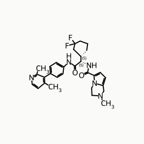 Cc1ccnc(C)c1-c1ccc(NC(=O)[C@@H](NC(=O)c2ccc3n2CCN(C)C3)[C@H]2CCCC(F)(F)C2)cc1